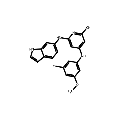 N#Cc1cc(Nc2cc(Cl)cc(OC(F)(F)F)c2)cc(Nc2ccc3cc[nH]c3c2)n1